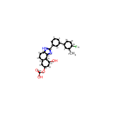 Cc1cc(-c2cccc(-c3nc4c(ccc5cc(OC(=O)O)cc(O)c54)[nH]3)c2)ccc1F